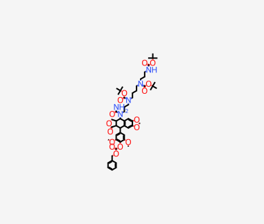 COc1cc(C2c3cc4c(cc3C(N(CCCN(CCCCN(CCCNC(=O)OC(C)(C)C)C(=O)OC(C)(C)C)C(=O)OC(C)(C)C)C(N)=O)C3COC(=O)C23)OCO4)cc(OC)c1OC(=O)OCc1ccccc1